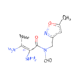 CN/C(N)=C(/N)C(=O)N(C=O)Cc1cc(C)on1